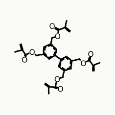 C=C(C)C(=O)OCc1cc(COC(=O)C(=C)C)cc(-c2cc(COC(=O)C(=C)C)cc(COC(=O)C(=C)C)c2)c1